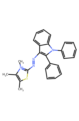 Cc1sc(/N=N/c2c(-c3ccccc3)n(-c3ccccc3)c3ccccc23)[n+](C)c1C